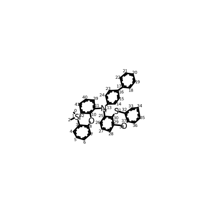 C[Si]1(C)c2ccccc2Oc2c(N(c3ccc(-c4ccccc4)cc3)c3cccc4c3Sc3ccccc3O4)cccc21